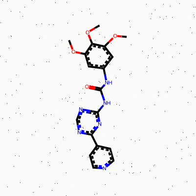 COc1cc(NC(=O)Nc2ncnc(-c3ccncc3)n2)cc(OC)c1OC